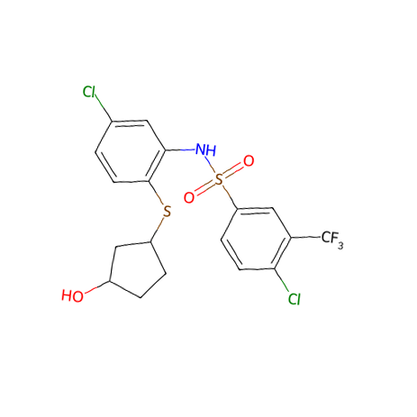 O=S(=O)(Nc1cc(Cl)ccc1SC1CCC(O)C1)c1ccc(Cl)c(C(F)(F)F)c1